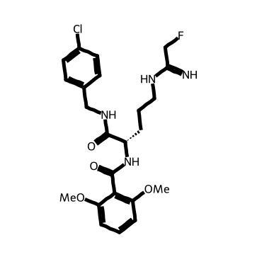 COc1cccc(OC)c1C(=O)N[C@@H](CCCNC(=N)CF)C(=O)NCc1ccc(Cl)cc1